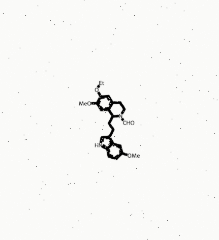 CCOc1cc2c(cc1OC)C(CCc1c[nH]c3ccc(OC)cc13)N(C=O)CC2